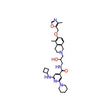 Cc1ncoc1COc1ccc2c(c1C)CCN(CC(O)CNC(=O)c1cc(NC3CCC3)nc(N3CCCCC3)c1)C2